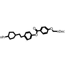 CCCCCCCCCCCOc1ccc(C(=O)Oc2ccc(CCC3CCC(CCC)CC3)cc2)cc1